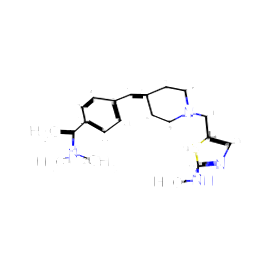 C=C(c1ccc(C=C2CCN(Cc3cnc(NC)s3)CC2)cc1)N(C)C